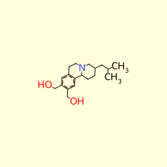 CC(C)CC1CCC2c3cc(CO)c(CO)cc3CCN2C1